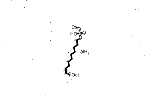 CCCCCCCC/C=C\CCCCCCCCOP(=O)(O)OCC.[AlH3]